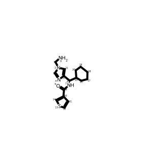 NCn1cnc([C@@H](NC(=O)c2ccsc2)C2CCCCC2)c1